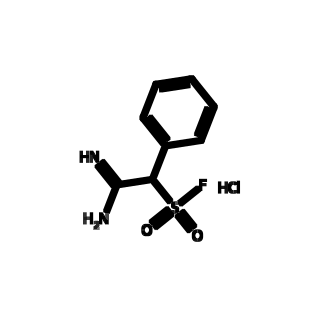 Cl.N=C(N)C(c1ccccc1)S(=O)(=O)F